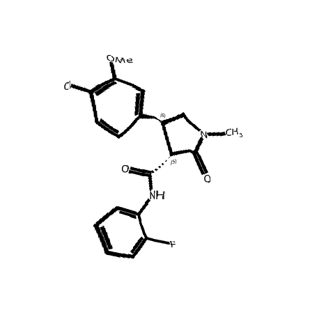 COc1cc([C@H]2CN(C)C(=O)[C@@H]2C(=O)Nc2ccccc2F)ccc1Cl